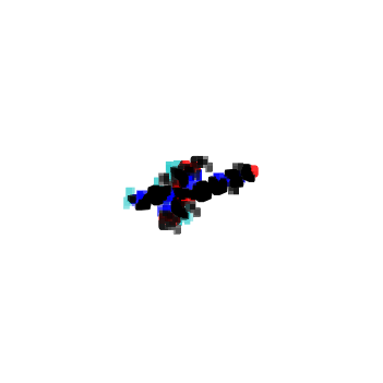 COC(=O)N[C@H](C(=O)N[C@@H](Cc1ccc(-c2ccc(N3C[C@H]4C[C@@H]3CN4C3COC3)nc2)cc1)[C@@H](O)CN(Cc1c(F)cc(-c2ccn(C(F)F)n2)cc1F)NC(=O)[C@@H](NC(=O)OC)C(C)(C)C(F)(F)F)C(C)(C)C(F)(F)F